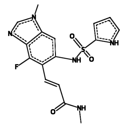 CNC(=O)/C=C/c1c(NS(=O)(=O)c2ccc[nH]2)cc2c(ncn2C)c1F